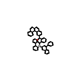 c1ccc(-c2ccccc2N(c2cc(-c3ccccc3)c3ccccc3c2)c2ccc(-c3ccc4ccc5ccc6ccccc6c5c4c3)c3ccccc23)cc1